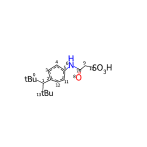 CC(C)(C)C(c1ccc(NC(=O)CS(=O)(=O)O)cc1)C(C)(C)C